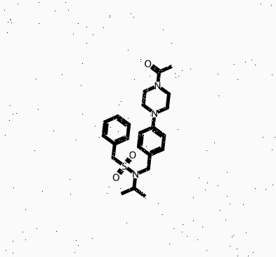 CC(=O)N1CCN(c2ccc(CN(C(C)C)S(=O)(=O)Cc3ccccc3)cc2)CC1